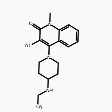 Cn1c(=O)c(C#N)c(N2CCC(NCC#N)CC2)c2ccccc21